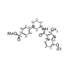 CCOc1cccn2c(C(=O)N[C@H]3CCCN(c4ccc(C(=O)OC)cc4)C3)c(C)nc12